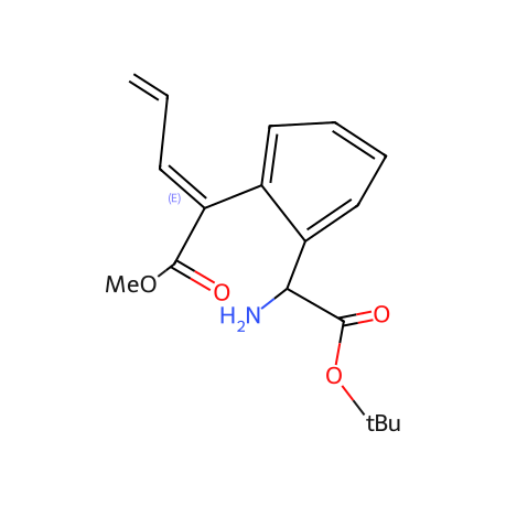 C=C/C=C(/C(=O)OC)c1ccccc1C(N)C(=O)OC(C)(C)C